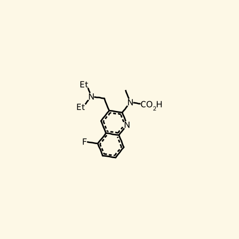 CCN(CC)Cc1cc2c(F)cccc2nc1N(C)C(=O)O